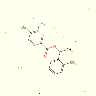 Cc1cc(C(=O)OC(C)c2ccccc2C(F)(F)F)ccc1C(C)(C)C